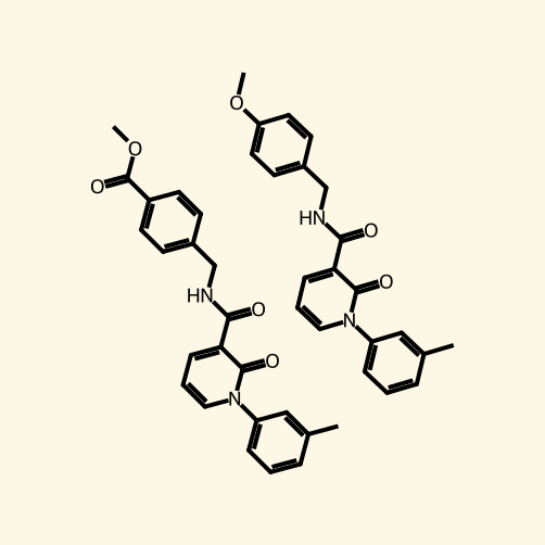 COC(=O)c1ccc(CNC(=O)c2cccn(-c3cccc(C)c3)c2=O)cc1.COc1ccc(CNC(=O)c2cccn(-c3cccc(C)c3)c2=O)cc1